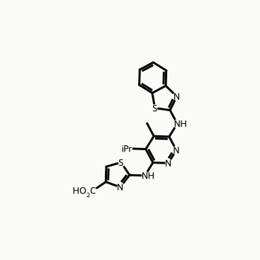 Cc1c(Nc2nc3ccccc3s2)nnc(Nc2nc(C(=O)O)cs2)c1C(C)C